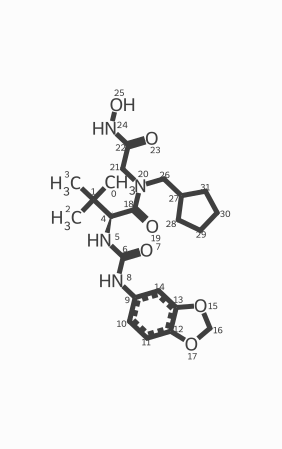 CC(C)(C)[C@H](NC(=O)Nc1ccc2c(c1)OCO2)C(=O)N(CC(=O)NO)CC1CCCC1